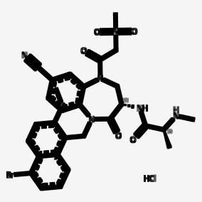 CN[C@@H](C)C(=O)N[C@H]1CN(C(=O)CS(C)(=O)=O)c2cc(C#N)ccc2N(Cc2c(OC)ccc3c(Br)cccc23)C1=O.Cl